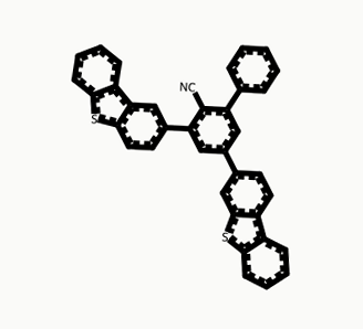 N#Cc1c(-c2ccccc2)cc(-c2ccc3c(c2)sc2ccccc23)cc1-c1ccc2sc3ccccc3c2c1